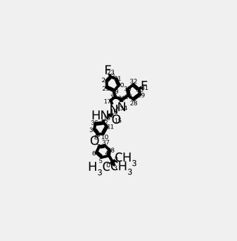 CC(C)(C)c1ccc(Oc2ccc(NC(=O)N3CC(c4ccc(F)cc4)C(c4ccc(F)cc4)=N3)cc2)cc1